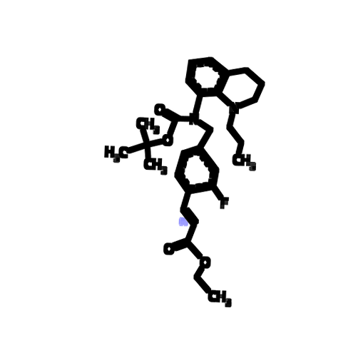 CCCN1CCCc2cccc(N(Cc3ccc(/C=C/C(=O)OCC)c(F)c3)C(=O)OC(C)(C)C)c21